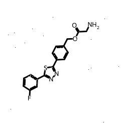 NCC(=O)OCc1ccc(-c2nnc(-c3cccc(F)c3)s2)cc1